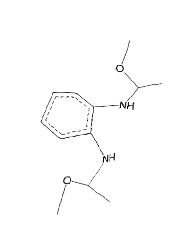 COC(C)Nc1ccccc1NC(C)OC